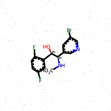 O=C(O)N[C@H](c1cncc(Br)c1)[C@H](O)c1cc(F)ccc1F